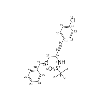 CC(C)(C)[S@+]([O-])NC(C#Cc1ccc(Cl)cc1)COCc1ccccc1